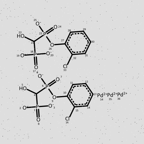 O=P([O-])([O-])C(O)P(=O)([O-])Oc1ccccc1Cl.O=P([O-])([O-])C(O)P(=O)([O-])Oc1ccccc1Cl.[Pd+2].[Pd+2].[Pd+2]